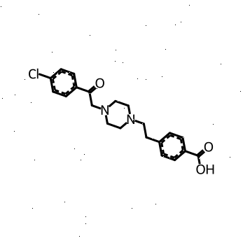 O=C(O)c1ccc(CCN2CCN(CC(=O)c3ccc(Cl)cc3)CC2)cc1